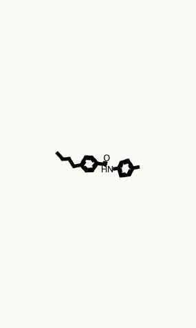 CCCCc1ccc(C(=O)Nc2ccc(C)cc2)cc1